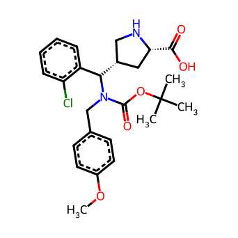 COc1ccc(CN(C(=O)OC(C)(C)C)C(c2ccccc2Cl)[C@@H]2CN[C@H](C(=O)O)C2)cc1